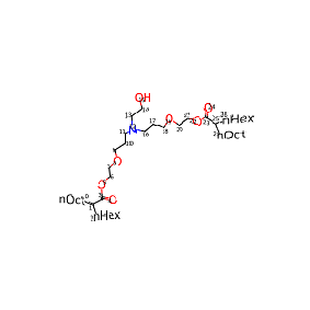 CCCCCCCCC(CCCCCC)C(=O)OCCOCCCN(CCO)CCCOCCOC(=O)C(CCCCCC)CCCCCCCC